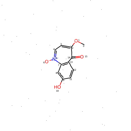 COc1cc[n+]([O-])c2cc(O)ccc2c1=O